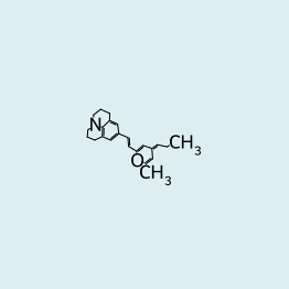 CCC=C1C=C(C)OC(C=Cc2cc3c4c(c2)CCCN4CCC3)=C1